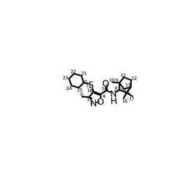 Cc1noc(C(=O)NC2C3(C)CCC(C3)C2(C)C)c1SC1CCCCC1